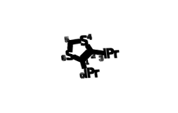 CC(C)C1=C(C(C)C)SCS1